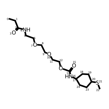 CCC(=O)NCCOCCOCCOC(=O)NC1CCC(SC)CC1